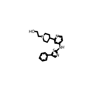 OCCN1CCC(c2cc(Nc3ncc(-c4ccccc4)s3)ccn2)CC1